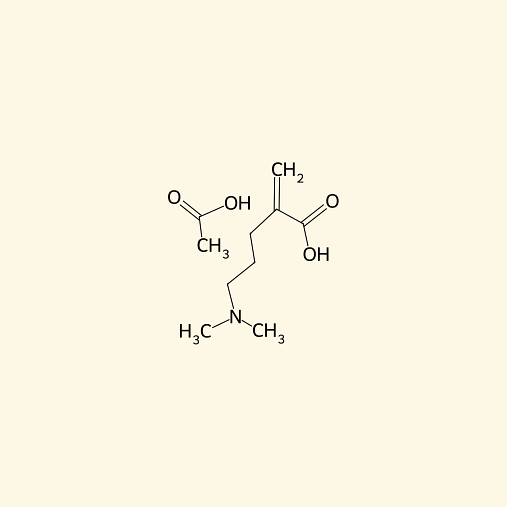 C=C(CCCN(C)C)C(=O)O.CC(=O)O